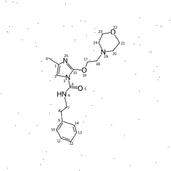 Cc1cn(C(=O)NCCc2ccccc2)c(OCCN2CCOCC2)n1